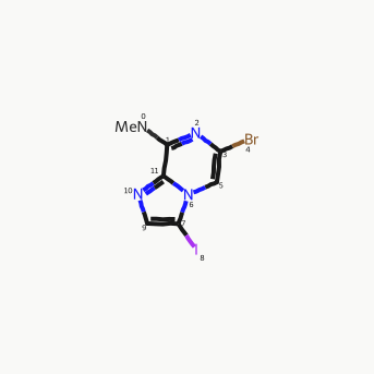 CNc1nc(Br)cn2c(I)cnc12